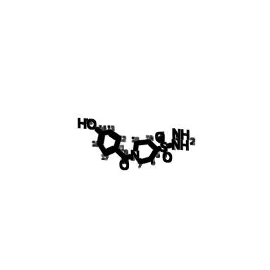 NNS(=O)(=O)C1CCN(C(=O)c2ccc(O)cc2)CC1